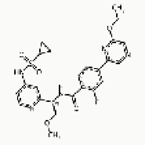 CCOc1cncc(-c2ccc(C(=O)N[C@@H](COC)c3cc(NS(=O)(=O)C4CC4)ccn3)c(F)c2)n1